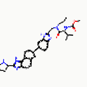 CCCN(Cc1nc2ccc(-c3ccc4c(ccc5nc(C6CCCN6)[nH]c54)c3)cc2[nH]1)C(=O)C(NC(=O)OC)C(C)C